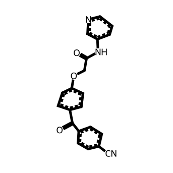 N#Cc1ccc(C(=O)c2ccc(OCC(=O)Nc3cccnc3)cc2)cc1